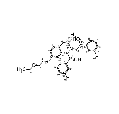 CCOCCOc1ccc(C[C@@H](C)N(C[C@@H](O)c2cccc(F)c2)C[C@H](O)c2cccc(F)c2)cc1